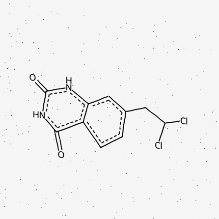 O=c1[nH]c(=O)c2ccc(CC(Cl)Cl)cc2[nH]1